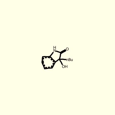 CCCCC1(O)C(=O)Nc2ccccc21